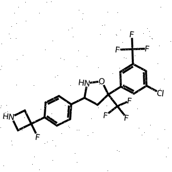 FC(F)(F)c1cc(Cl)cc(C2(C(F)(F)F)CC(c3ccc(C4(F)CNC4)cc3)NO2)c1